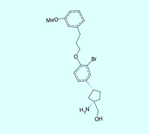 COc1cccc(CCCOc2ccc([C@@H]3CC[C@@](N)(CO)C3)cc2Br)c1